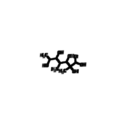 CCC(O)C(C)(O)C(O)C(N)C(O)C(C)O